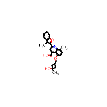 Cc1c(-c2cc(C(=O)O)c3c(OCC4CC(C)(O)C4)ccc(C)c3n2)oc2ccccc12